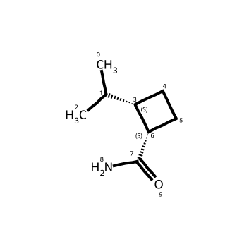 CC(C)[C@@H]1CC[C@@H]1C(N)=O